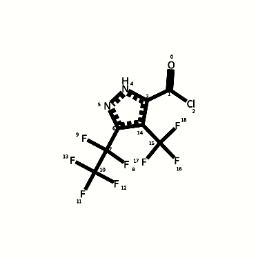 O=C(Cl)c1[nH]nc(C(F)(F)C(F)(F)F)c1C(F)(F)F